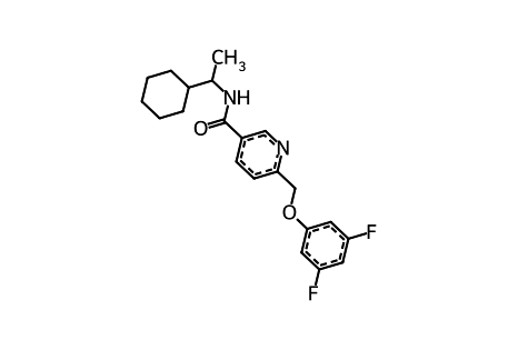 CC(NC(=O)c1ccc(COc2cc(F)cc(F)c2)nc1)C1CCCCC1